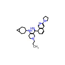 CCCN1CCC(NC2CCC3CC3CC2)=C(C(=N)C2CC=Cc3cc(N4CCCC4)ncc32)C1